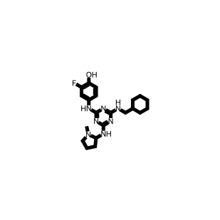 CN1CCCC1Nc1nc(NCC2CCCCC2)nc(Nc2ccc(O)c(F)c2)n1